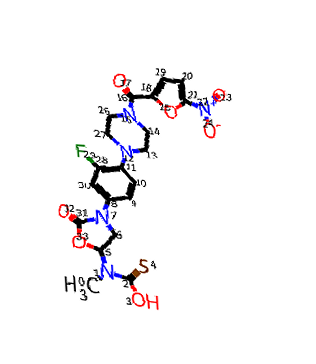 CN(C(O)=S)C1CN(c2ccc(N3CCN(C(=O)c4ccc([N+](=O)[O-])o4)CC3)c(F)c2)C(=O)O1